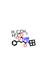 CC(C)(C)OC(=O)NC(CCc1ccccc1)C(=O)NC12CC3CC4CC(C1)C432